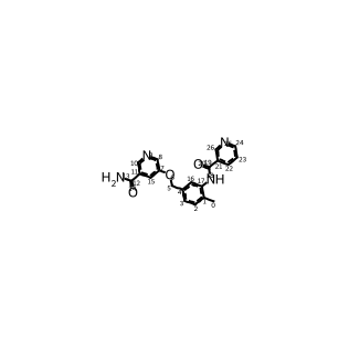 Cc1ccc(COc2cncc(C(N)=O)c2)cc1NC(=O)c1cccnc1